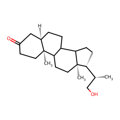 C[C@H](CO)[C@H]1CCC2C3CC[C@@H]4CC(=O)CC[C@]4(C)C3CC[C@@]21C